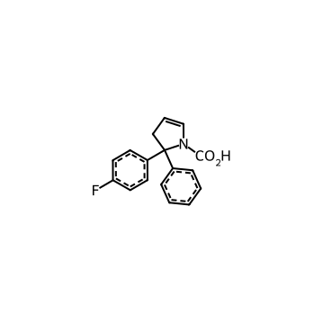 O=C(O)N1C=CCC1(c1ccccc1)c1ccc(F)cc1